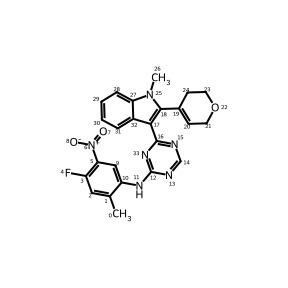 Cc1cc(F)c([N+](=O)[O-])cc1Nc1ncnc(-c2c(C3=CCOCC3)n(C)c3ccccc23)n1